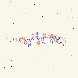 COC(=O)CNC(=O)CNC(=O)CNC(=O)CONC(=O)OC(C)(C)C